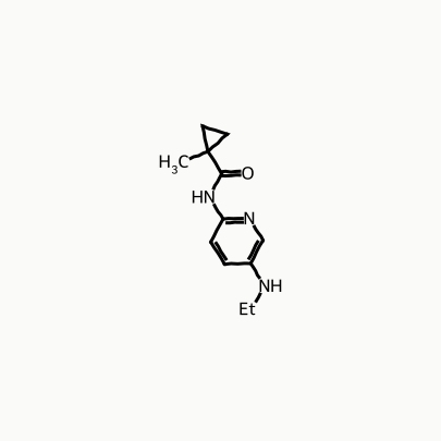 CCNc1ccc(NC(=O)C2(C)CC2)nc1